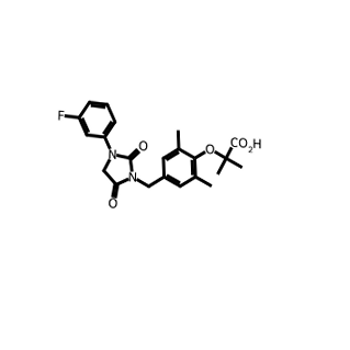 Cc1cc(CN2C(=O)CN(c3cccc(F)c3)C2=O)cc(C)c1OC(C)(C)C(=O)O